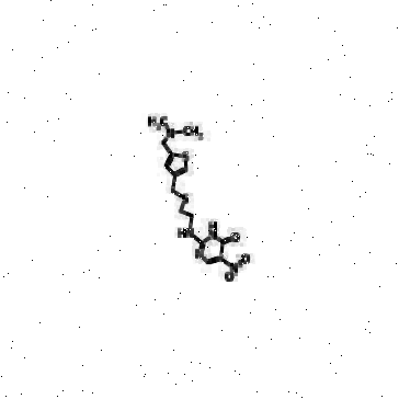 CN(C)Cc1cc(CSCCNc2ncc([N+](=O)[O-])c(=O)[nH]2)cs1